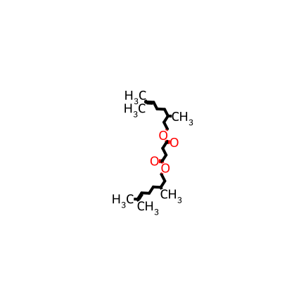 CC(C)=CCCC(C)CCOC(=O)CCC(=O)OCCC(C)CCC=C(C)C